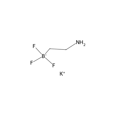 NCC[B-](F)(F)F.[K+]